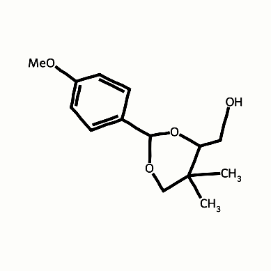 COc1ccc(C2OCC(C)(C)C(CO)O2)cc1